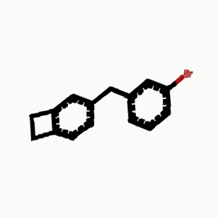 Brc1cccc(Cc2ccc3c(c2)CC3)c1